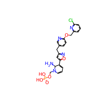 NC1C(c2cc(Cc3ccc(OCc4cccc(Cl)n4)nc3)no2)=CC=CN1COP(=O)(O)O